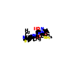 Cc1ncsc1-c1ccc([C@H](C)NC(=O)[C@@H]2C[C@@H](O)CN2C(=O)[C@@H](NC(=O)C2(C#N)CC2)C(C)(C)S)cc1